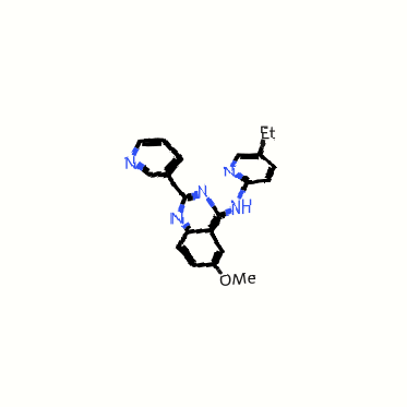 CCc1ccc(Nc2nc(-c3cccnc3)nc3ccc(OC)cc23)nc1